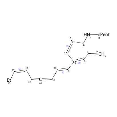 C=C/C=C(\C=N/CNCCCCC)/C=C/C=C=C/C=C\CC